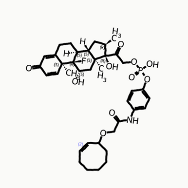 C[C@@H]1C[C@H]2[C@@H]3CCC4=CC(=O)C=C[C@]4(C)[C@@]3(F)[C@@H](O)C[C@]2(C)[C@@]1(O)C(=O)COP(=O)(O)Oc1ccc(NC(=O)COC2/C=C\CCCCC2)cc1